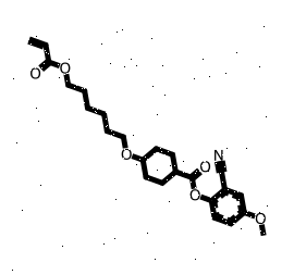 C=CC(=O)OCCCCCCOC1CCC(C(=O)Oc2ccc(OC)cc2C#N)CC1